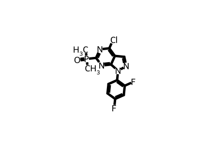 CP(C)(=O)c1nc(Cl)c2cnn(-c3ccc(F)cc3F)c2n1